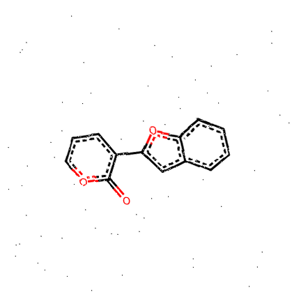 O=c1occcc1-c1cc2ccccc2o1